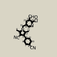 Cc1c(C#N)c(-c2ccc(C#N)cc2)c(C)n1Cc1cnc(Cl)c(C=O)c1